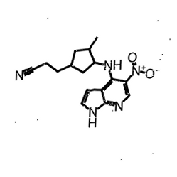 CC1CC(CCC#N)CC1Nc1c([N+](=O)[O-])cnc2[nH]ccc12